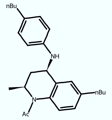 CCCCc1ccc(N[C@@H]2C[C@H](C)N(C(C)=O)c3ccc(CCCC)cc32)cc1